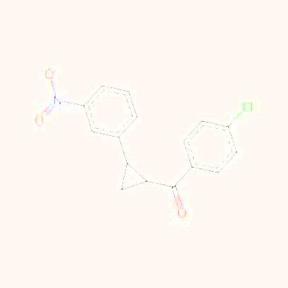 O=C(c1ccc(Cl)cc1)C1CC1c1cccc([N+](=O)[O-])c1